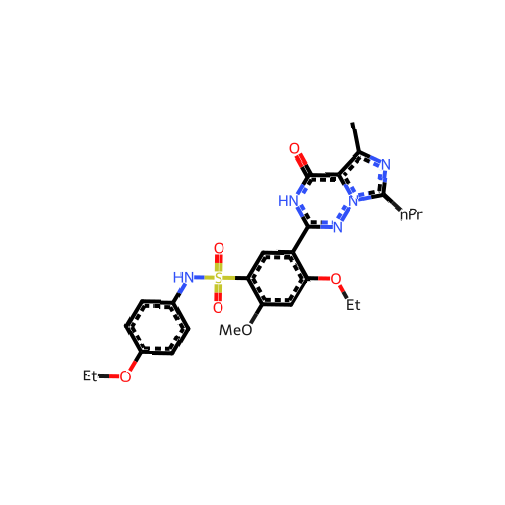 CCCc1nc(C)c2c(=O)[nH]c(-c3cc(S(=O)(=O)Nc4ccc(OCC)cc4)c(OC)cc3OCC)nn12